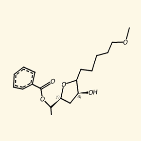 COCCCCCC1O[C@H](C(C)OC(=O)c2ccccc2)C[C@@H]1O